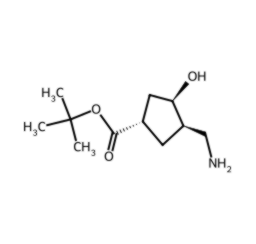 CC(C)(C)OC(=O)[C@H]1C[C@H](CN)[C@H](O)C1